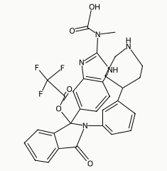 CN(C(=O)O)c1nc2cc(C3(OC(=O)C(F)(F)F)c4ccccc4C(=O)N3c3cccc(C4CCNCC4)c3)ccc2[nH]1